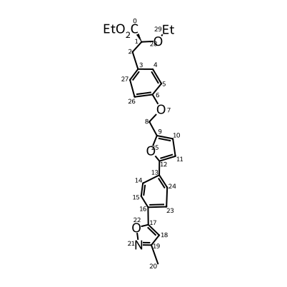 CCOC(=O)[C@H](Cc1ccc(OCc2ccc(-c3ccc(-c4cc(C)no4)cc3)o2)cc1)OCC